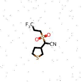 N#CC(C1CCSC1)S(=O)(=O)CCC(F)(F)F